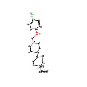 CCCCC[SiH]1CCC(C2CCC(COc3ccc(Cl)cc3)CC2)CC1